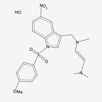 COc1ccc(S(=O)(=O)n2cc(CN(C)C=CN(C)C)c3cc([N+](=O)[O-])ccc32)cc1.Cl